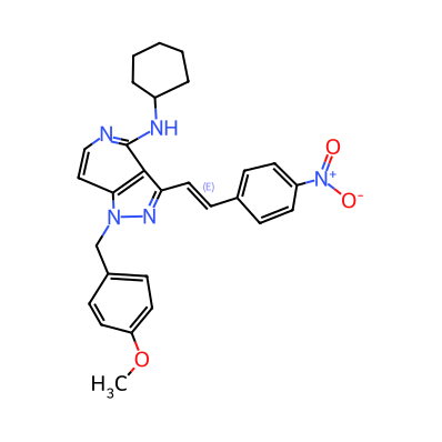 COc1ccc(Cn2nc(/C=C/c3ccc([N+](=O)[O-])cc3)c3c(NC4CCCCC4)nccc32)cc1